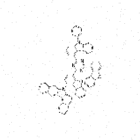 c1ccc(-n2c3ccccc3c3c(-c4nc(-c5ccc(-n6c7cc8ccccc8cc7c7c8ccccc8ccc76)c6c5oc5ccccc56)nc(-c5cccc6oc7ccccc7c56)n4)cccc32)cc1